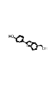 OCc1ccc2oc(-c3ccc(O)cc3)cc2c1